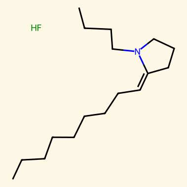 CCCCCCCCC=C1CCCN1CCCC.F